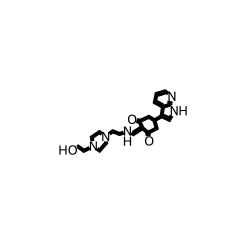 O=C1CC(c2c[nH]c3ncccc23)CC(=O)C1=CNCCN1CCN(CCO)CC1